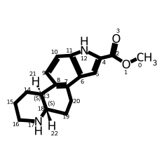 COC(=O)c1cc2c3c(ccc2[nH]1)[C@@H]1CCCN[C@H]1CC3